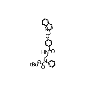 CC(C)(C)OC(=O)N(CCNC(=O)c1ccc(OCc2ccc3ccccc3n2)cc1)c1ccccc1